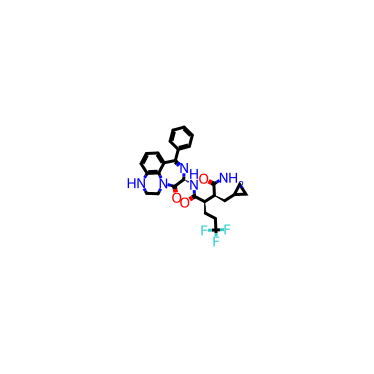 NC(=O)[C@@H](CC1CC1)[C@@H](CCC(F)(F)F)C(=O)N[C@H]1N=C(c2ccccc2)c2cccc3c2N(CCN3)C1=O